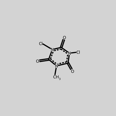 Cn1c(=O)n(Cl)c(=O)n(Cl)c1=O